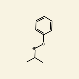 CC(C)POc1ccccc1